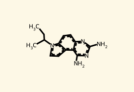 CCC(C)n1ccc2c3c(N)nc(N)nc3ccc21